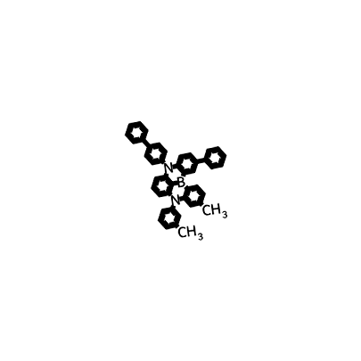 Cc1cccc(N2c3cc(C)ccc3B3c4cc(-c5ccccc5)ccc4N(c4ccc(-c5ccccc5)cc4)c4cccc2c43)c1